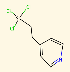 Cl[Si](Cl)(Cl)CCc1ccncc1